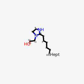 CCCCCCCCCCCCC1NCCN1CCO